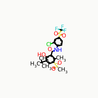 Cc1c(S(C)(=O)=O)cc(C(C)(C)C)c(O)c1C(=O)Nc1ccc(S(=O)(=O)C(F)(F)F)cc1Cl